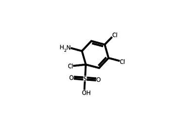 NC1C=C(Cl)C(Cl)=CC1(Cl)S(=O)(=O)O